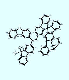 CC1(C)c2ccccc2-c2ccc(C(Cc3ccc4c(c3)C3(c5ccccc5-4)c4ccccc4-c4c3cc3c5c4C=CC4C(c6ccccc6-3)C54)c3ccc4oc5ccccc5c4c3)cc21